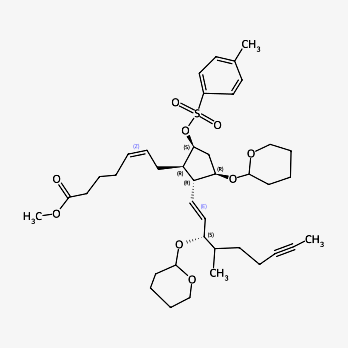 CC#CCCC(C)[C@@H](/C=C/[C@@H]1[C@@H](C/C=C\CCCC(=O)OC)[C@@H](OS(=O)(=O)c2ccc(C)cc2)C[C@H]1OC1CCCCO1)OC1CCCCO1